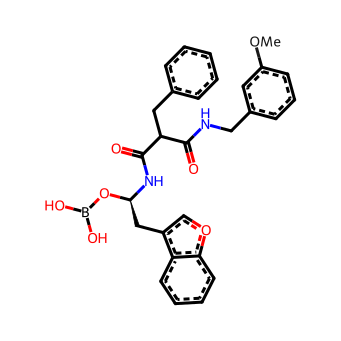 COc1cccc(CNC(=O)C(Cc2ccccc2)C(=O)N[C@@H](Cc2coc3ccccc23)OB(O)O)c1